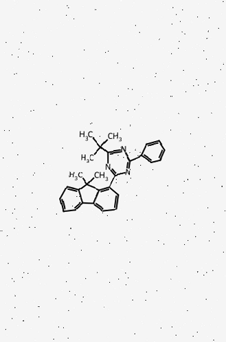 CC(C)(C)c1nc(-c2ccccc2)nc(-c2cccc3c2C(C)(C)c2ccccc2-3)n1